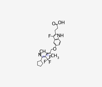 C=N/C(=C(\C=C(/C)COc1ccc2[nH]c(CCC(=O)O)c(F)c2c1)C(F)(F)F)C1CCCC1